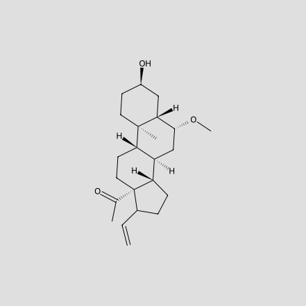 C=CC1CC[C@H]2[C@@H]3C[C@@H](OC)[C@H]4C[C@H](O)CC[C@]4(C)[C@H]3CC[C@]12C(C)=O